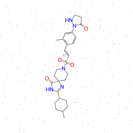 Cc1cc(N2NCCC2=O)ccc1/C=C/S(=O)(=O)N1CCC2(CC1)N=C(C1CCC(C)CC1)NC2=O